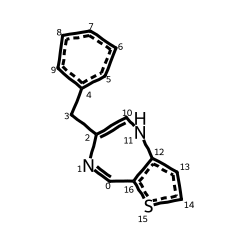 C1=NC(Cc2ccccc2)=CNc2ccsc21